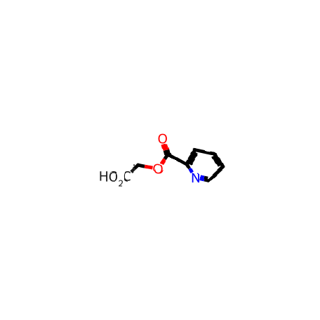 O=C(O)[CH]OC(=O)c1ccccn1